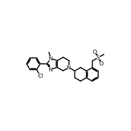 Cn1c(-c2ccccc2Cl)nc2c1CCN(C1CCc3cccc(CS(C)(=O)=O)c3C1)C2